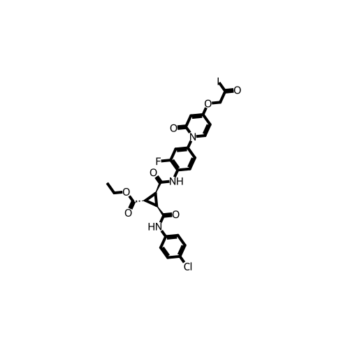 CCOC(=O)[C@H]1[C@H](C(=O)Nc2ccc(Cl)cc2)[C@@H]1C(=O)Nc1ccc(-n2ccc(OCC(=O)I)cc2=O)cc1F